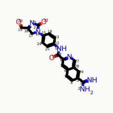 N=C(N)c1ccc2cc(C(=O)Nc3ccc(N4CC(C=O)=NC4=O)cc3)ncc2c1